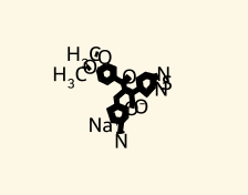 COc1ccc(C(=O)C(Cc2ccc(C#N)cc2)=C(C(=O)[O-])c2ccc3nsnc3c2)cc1OC.[Na+]